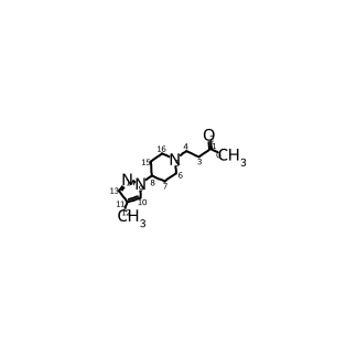 CC(=O)CCN1CCC(n2cc(C)cn2)CC1